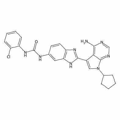 Nc1ncnc2c1c(-c1nc3ccc(NC(=O)Nc4ccccc4Cl)cc3[nH]1)cn2C1CCCC1